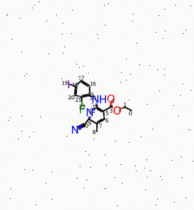 CCOC(=O)c1cc(C)c(C#N)nc1Nc1ccc(I)cc1F